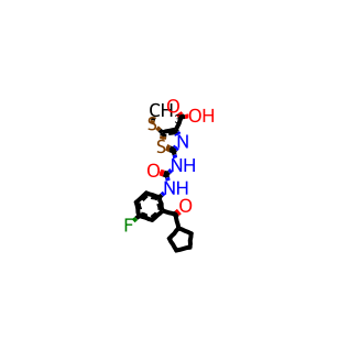 CSc1sc(NC(=O)Nc2ccc(F)cc2C(=O)C2CCCC2)nc1C(=O)O